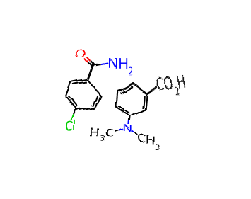 CN(C)c1cccc(C(=O)O)c1.NC(=O)c1ccc(Cl)cc1